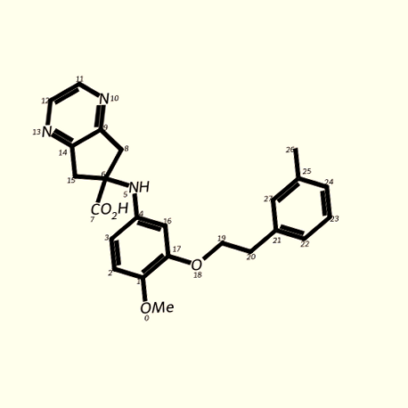 COc1ccc(NC2(C(=O)O)Cc3nccnc3C2)cc1OCCc1cccc(C)c1